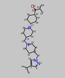 CC(C)c1cnn(CC2CCN(CC3CCN([C@H]4CC[C@H](C(=O)C(C)C)CC4)CC3)CC2)c1